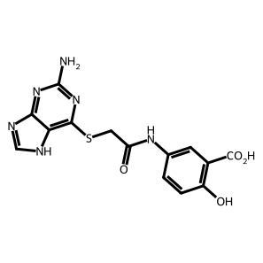 Nc1nc(SCC(=O)Nc2ccc(O)c(C(=O)O)c2)c2[nH]cnc2n1